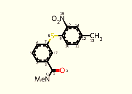 CNC(=O)c1cccc(Sc2ccc(C)cc2[N+](=O)[O-])c1